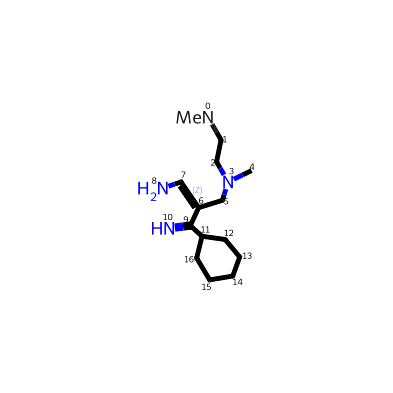 CNCCN(C)C/C(=C/N)C(=N)C1CCCCC1